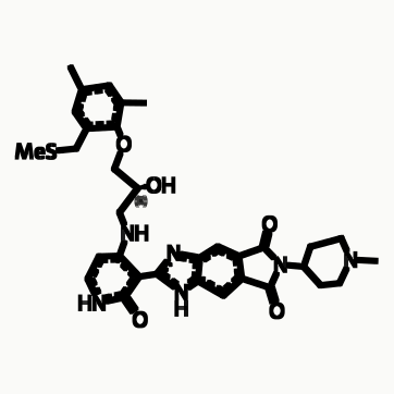 CSCc1cc(C)cc(C)c1OC[C@H](O)CNc1cc[nH]c(=O)c1-c1nc2cc3c(cc2[nH]1)C(=O)N(C1CCN(C)CC1)C3=O